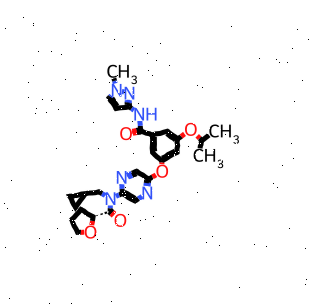 CC(C)Oc1cc(Oc2cnc(N(CC3CC3)C(=O)[C@H]3CCCO3)cn2)cc(C(=O)Nc2ccn(C)n2)c1